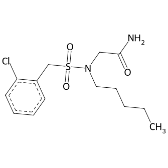 CCCCCN(CC(N)=O)S(=O)(=O)Cc1ccccc1Cl